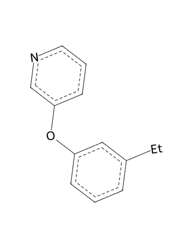 CCc1cccc(Oc2cccnc2)c1